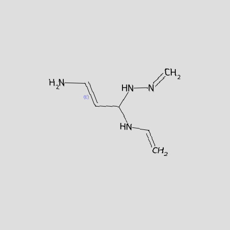 C=CNC(/C=C/N)NN=C